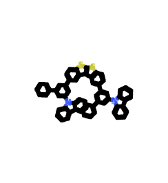 c1ccc(-c2cc(-c3ccc4sc5sc6ccc(-c7cc(-c8ccccc8)cc(-n8c9ccccc9c9ccccc98)c7)cc6c5c4c3)cc(-n3c4ccccc4c4ccccc43)c2)cc1